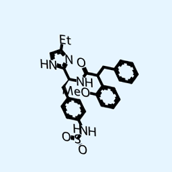 CCc1c[nH]c([C@H](Cc2ccc(N[SH](=O)=O)cc2)NC(=O)C(Cc2ccccc2)c2ccccc2OC)n1